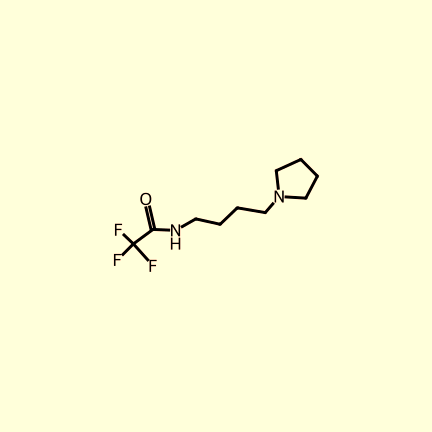 O=C(NCCCCN1CCCC1)C(F)(F)F